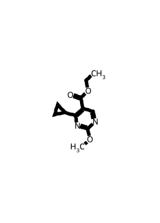 CCOC(=O)c1cnc(OC)nc1C1CC1